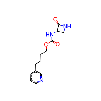 O=C(N[C@H]1CNC1=O)OCCCCc1cccnc1